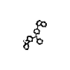 c1ccc(N(c2ccc(-c3cccc4ccccc34)cc2)c2ccc3oc4ccccc4c3c2)cc1